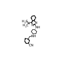 CN(C)c1nc(N[C@H]2CC[C@@H](NCc3cccc(C#N)c3)CC2)nc2ccccc12